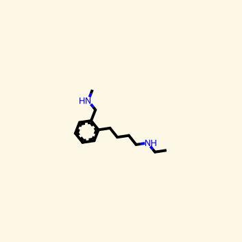 CCNCCCCc1ccccc1CNC